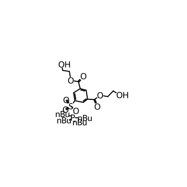 CCCCP(CCCC)(CCCC)(CCCC)OS(=O)(=O)c1cc(C(=O)OCCO)cc(C(=O)OCCO)c1